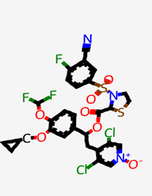 N#Cc1cc(S(=O)(=O)N2CCSC2C(=O)OC(Cc2c(Cl)c[n+]([O-])cc2Cl)c2ccc(OC(F)F)c(OCC3CC3)c2)ccc1F